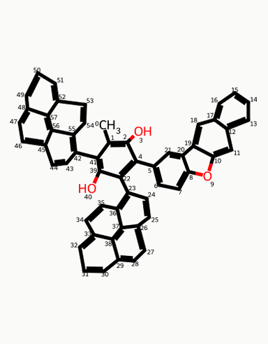 Cc1c(O)c(-c2ccc3oc4cc5ccccc5cc4c3c2)c(-c2ccc3ccc4cccc5ccc2c3c45)c(O)c1-c1ccc2ccc3cccc4ccc1c2c34